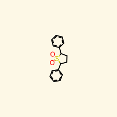 O=S1(=O)C(c2ccccc2)CCC1c1ccccc1